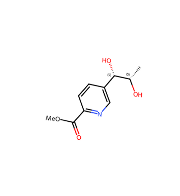 COC(=O)c1ccc([C@H](O)[C@H](C)O)cn1